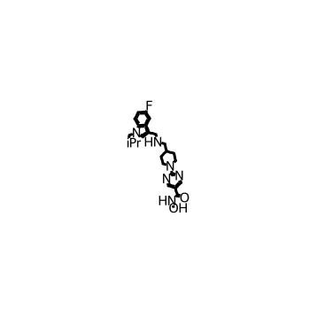 CC(C)Cn1cc(CNCC2CCN(c3ncc(C(=O)NO)cn3)CC2)c2cc(F)ccc21